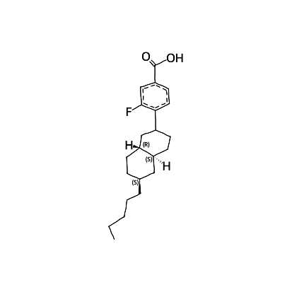 CCCCC[C@H]1CC[C@@H]2CC(c3ccc(C(=O)O)cc3F)CC[C@H]2C1